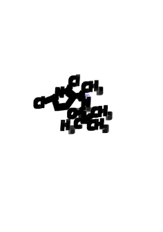 C/C(=N/[S+]([O-])C(C)(C)C)c1ccc(Cl)nc1Cl